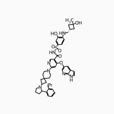 CC(C)c1ccccc1C1CCCN1C1CC2(CCN(c3cc(Oc4cnc5[nH]ccc5c4)c(C(=O)NS(=O)(=O)c4ccc(NC[C@H]5C[C@@](C)(O)C5)c(O)c4)cn3)CC2)C1